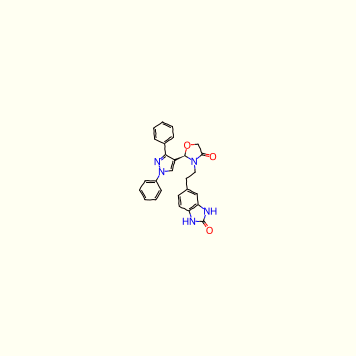 O=C1CO[C@H](c2cn(-c3ccccc3)nc2-c2ccccc2)N1CCc1ccc2[nH]c(=O)[nH]c2c1